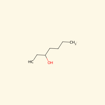 [CH]CC(O)CCC[CH2]